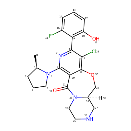 C[C@@H]1CCCN1c1nc(-c2c(O)cccc2F)c(Cl)c2c1C(=O)N1CCNC[C@@H]1CO2